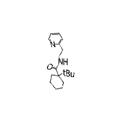 CC(C)(C)C1(C(=O)NCCc2ccccn2)CCCCC1